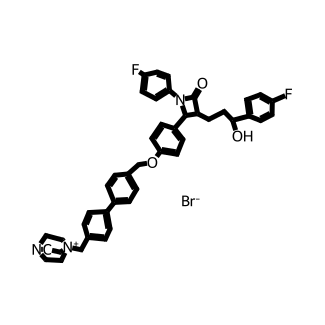 O=C1C(CCC(O)c2ccc(F)cc2)C(c2ccc(OCc3ccc(-c4ccc(C[N+]56CCN(CC5)CC6)cc4)cc3)cc2)N1c1ccc(F)cc1.[Br-]